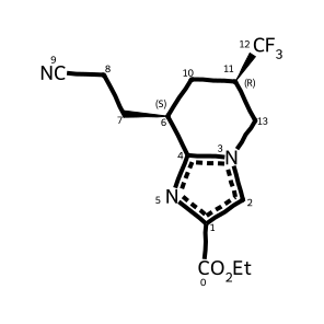 CCOC(=O)c1cn2c(n1)[C@@H](CCC#N)C[C@@H](C(F)(F)F)C2